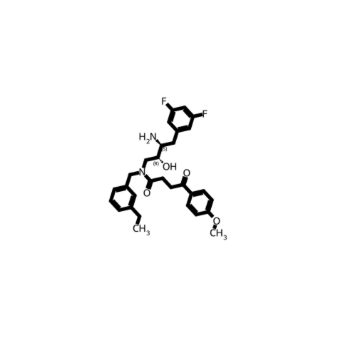 CCc1cccc(CN(C[C@@H](O)[C@@H](N)Cc2cc(F)cc(F)c2)C(=O)CCC(=O)c2ccc(OC)cc2)c1